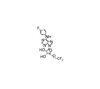 OC1C(O)[C@@H](COCC(F)(F)F)O[C@H]1n1cnc2c(Nc3ccc(F)cc3)ncnc21